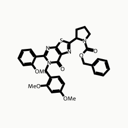 COc1ccc(Cn2c(-c3ccccc3OC)nc3sc(C4CCCN4C(=O)OCc4ccccc4)nc3c2=O)c(OC)c1